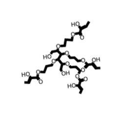 CC=C(O)C(=O)OCCCOC(CO)C(OCCCOC(=O)C(O)=CC)C(OCCCOC(=O)C(O)=CC)C(CO)OCCCOC(=O)C(O)=CC